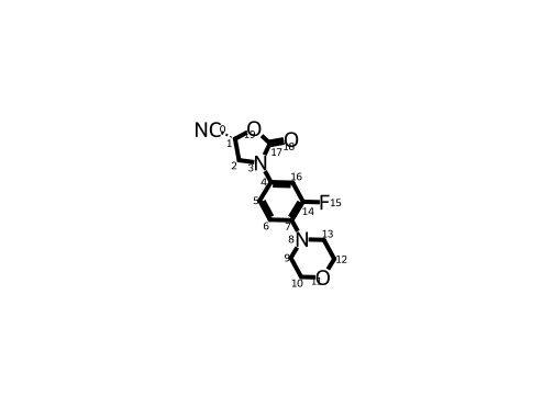 N#C[C@H]1CN(c2ccc(N3CCOCC3)c(F)c2)C(=O)O1